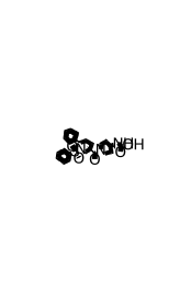 O=C(O)NC1CCN(C(=O)[C@@H]2CC[C@H](c3ccccc3)N(S(=O)(=O)c3ccccc3)C2)CC1